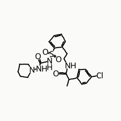 CC(C(=O)NCCc1ccccc1S(=O)(=O)NC(=O)NN1CCCCC1)c1ccc(Cl)cc1